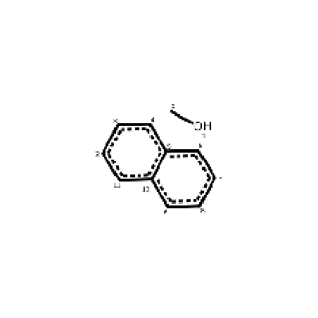 CO.c1ccc2ccccc2c1